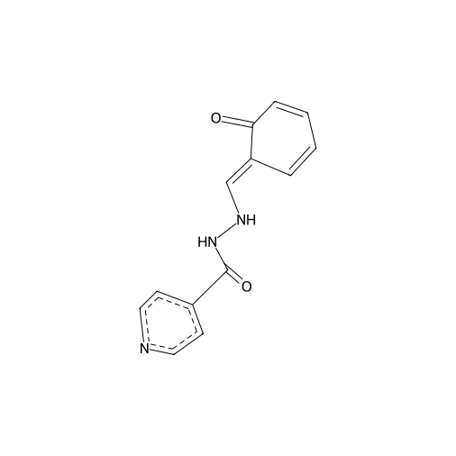 O=C1C=CC=C/C1=C\NNC(=O)c1ccncc1